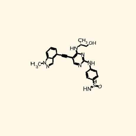 C[C@H](CO)Nc1nc(Nc2ccc([SH](=N)=O)cc2)ncc1C#Cc1cccc2c1cnn2C